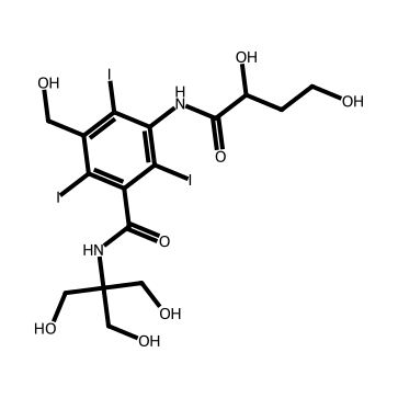 O=C(NC(CO)(CO)CO)c1c(I)c(CO)c(I)c(NC(=O)C(O)CCO)c1I